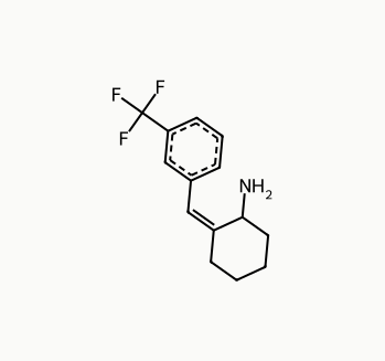 NC1CCCCC1=Cc1cccc(C(F)(F)F)c1